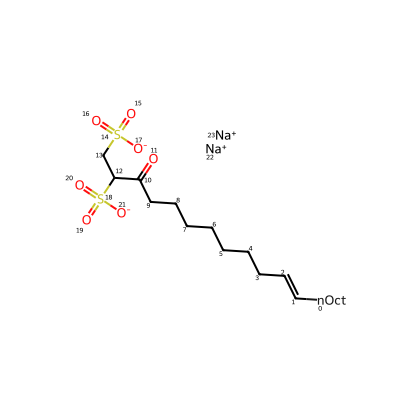 CCCCCCCCC=CCCCCCCCC(=O)C(CS(=O)(=O)[O-])S(=O)(=O)[O-].[Na+].[Na+]